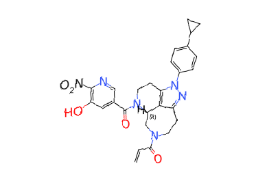 C=CC(=O)N1CCc2nn(-c3ccc(C4CC4)cc3)c3c2[C@H](C1)N(C(=O)c1cnc([N+](=O)[O-])c(O)c1)CC3